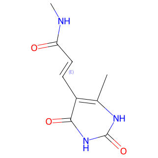 CNC(=O)/C=C/c1c(C)[nH]c(=O)[nH]c1=O